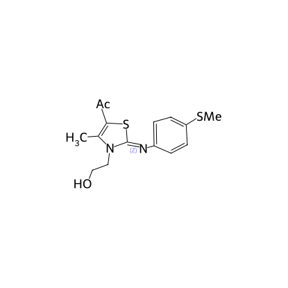 CSc1ccc(/N=c2\sc(C(C)=O)c(C)n2CCO)cc1